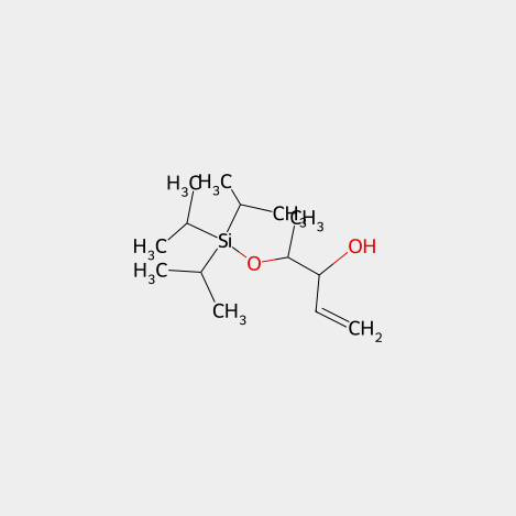 C=CC(O)C(C)O[Si](C(C)C)(C(C)C)C(C)C